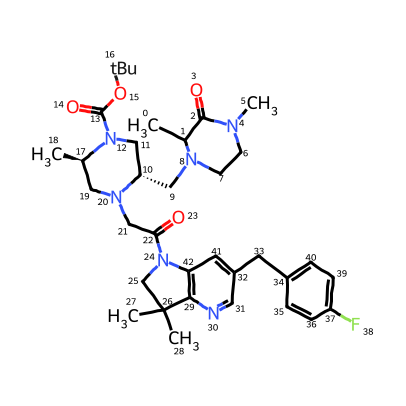 CC1C(=O)N(C)CCN1C[C@H]1CN(C(=O)OC(C)(C)C)[C@H](C)CN1CC(=O)N1CC(C)(C)c2ncc(Cc3ccc(F)cc3)cc21